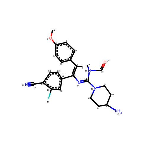 COc1ccc(/C(C)=C(/N=C(\N(C)C=O)N2CCC(N)CC2)c2ccc(C#N)c(F)c2)cc1